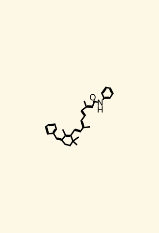 CC(C=CC1=C(C)C(=Cc2ccccc2)CCC1(C)C)=CC=CC(C)=CC(=O)Nc1ccccc1